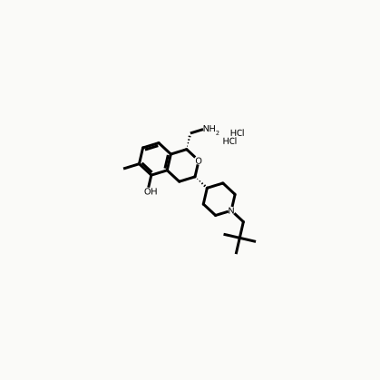 Cc1ccc2c(c1O)C[C@@H](C1CCN(CC(C)(C)C)CC1)O[C@H]2CN.Cl.Cl